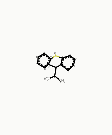 CC(C)C1c2ccccc2Sc2ccccc21